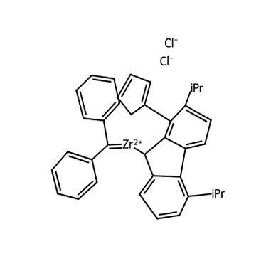 CC(C)c1ccc2c(c1C1=CC=CC1)[CH]([Zr+2]=[C](c1ccccc1)c1ccccc1)c1cccc(C(C)C)c1-2.[Cl-].[Cl-]